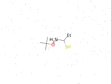 CCC(S)[SiH2]OC(C)(C)C